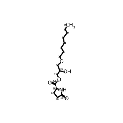 CCCCCCCCOCC(O)COC(=O)[C@@H]1CCC(=O)N1